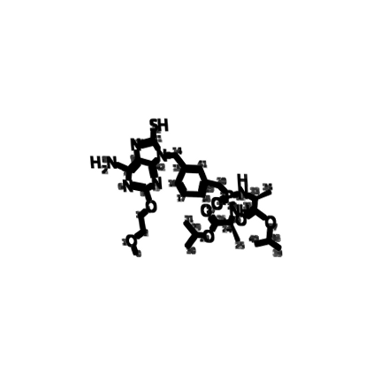 COCCOc1nc(N)c2nc(S)n(Cc3cccc(CP(=O)(N[C@@H](C)C(=O)OC(C)C)N[C@@H](C)C(=O)OC(C)C)c3)c2n1